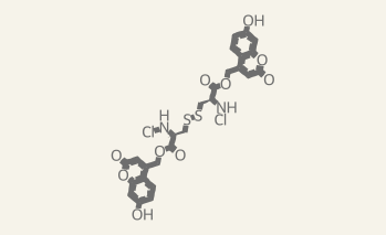 O=C(OCc1cc(=O)oc2cc(O)ccc12)[C@H](CSSC[C@H](NCl)C(=O)OCc1cc(=O)oc2cc(O)ccc12)NCl